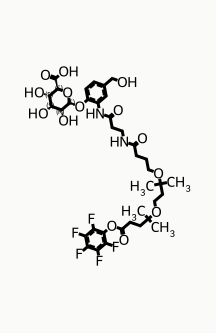 CC(C)(CCOC(C)(C)CCC(=O)Oc1c(F)c(F)c(F)c(F)c1F)OCCCC(=O)NCCC(=O)Nc1cc(CO)ccc1O[C@@H]1O[C@H](C(=O)O)[C@@H](O)[C@H](O)[C@H]1O